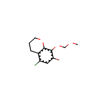 COCOc1c(Br)cc(Cl)c2c1OCCC2